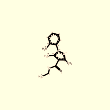 CCOC(=O)c1c(C)nn(-c2ccccc2N)c1C